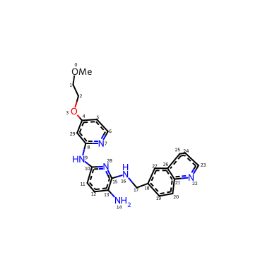 COCCOc1ccnc(Nc2ccc(N)c(NCc3ccc4ncccc4c3)n2)c1